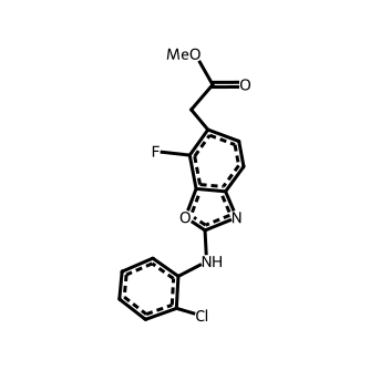 COC(=O)Cc1ccc2nc(Nc3ccccc3Cl)oc2c1F